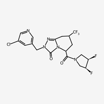 O=C(C1CC(C(F)(F)F)Cc2nn(Cc3cncc(Cl)c3)c(=O)n21)N1C[C@@H](F)[C@@H](F)C1